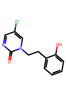 O=c1ncc(Cl)cn1CCc1ccccc1O